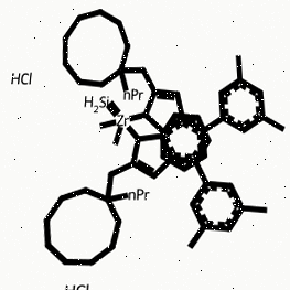 CCCC1(CC2=Cc3c(-c4cc(C)cc(C)c4)cccc3[CH]2[Zr]([CH3])([CH3])(=[SiH2])[CH]2C(CC3(CCC)CCCCCCCC3)=Cc3c(-c4cc(C)cc(C)c4)cccc32)CCCCCCCC1.Cl.Cl